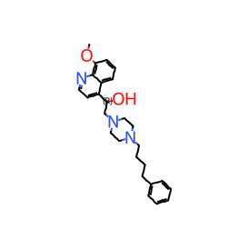 COc1cccc2c([C@@H](O)CN3CCN(CCCCc4ccccc4)CC3)ccnc12